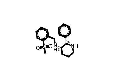 CS(=O)(=O)c1ccccc1CN[C@H]1CCCN[C@H]1c1ccccc1